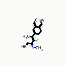 B=CC(=N/C)/C(F)=C(\C)C1=CC(=C/C)/C(=C\C(C)C)CC1